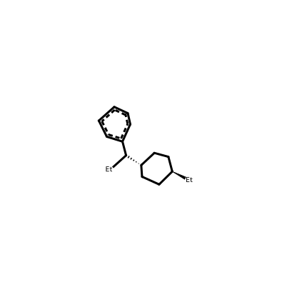 CCC(c1ccccc1)[C@H]1CC[C@H](CC)CC1